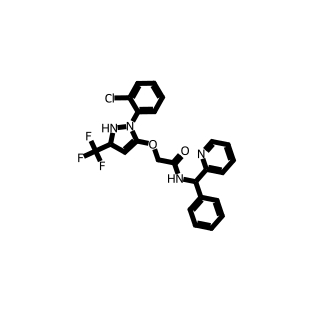 O=C(COC1=CC(C(F)(F)F)NN1c1ccccc1Cl)NC(c1ccccc1)c1ccccn1